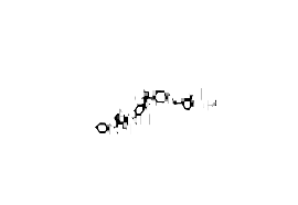 CN(C1CCC(NCc2ccc(O)c(C(F)(F)F)c2)CC1)S(=O)(=O)c1ccc(Nc2nccc(Nc3ccc(F)cc3)n2)cc1